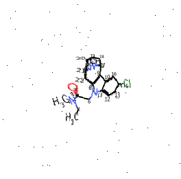 CCN(C)C(=O)Cn1c2c(c3c1=CCC(Cl)C=3)C1CCCC(C2)N1C